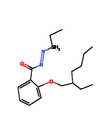 CCCCC(CC)COc1ccccc1C(=O)N=N[SiH2]CC